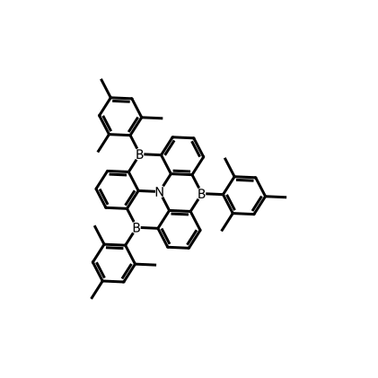 Cc1cc(C)c(B2c3cccc4c3N3c5c2cccc5B(c2c(C)cc(C)cc2C)c2cccc(c23)B4c2c(C)cc(C)cc2C)c(C)c1